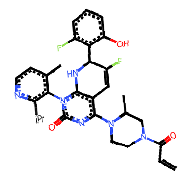 C=CC(=O)N1CCN(c2nc(=O)n(-c3c(C)ccnc3C(C)C)c3c2C=C(F)C(c2c(O)cccc2F)N3)C(C)C1